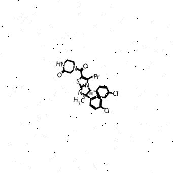 CC(C)C1=C(C(=O)N2CCNC(=O)C2)SC2=N[C@](C)(c3ccc(Cl)cc3)[C@@H](c3ccc(Cl)cc3)N21